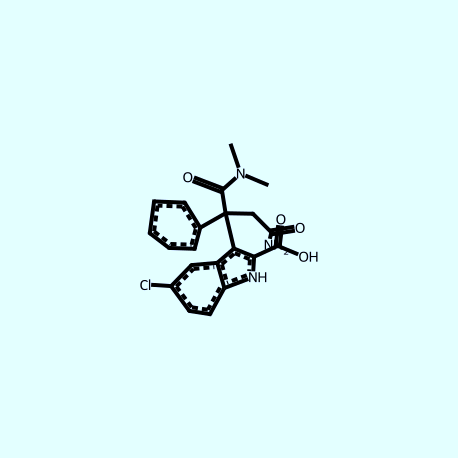 CN(C)C(=O)C(CC(N)=O)(c1ccccc1)c1c(C(=O)O)[nH]c2ccc(Cl)cc12